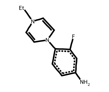 CCN1C=CN(c2ccc(N)cc2F)C=C1